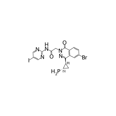 O=C(Cn1nc([C@H]2C[C@@H]2P)c2cc(Br)ccc2c1=O)Nc1ncc(I)cn1